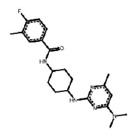 Cc1cc(N(C)C)nc(NC2CCC(NC(=O)c3ccc(F)c(C)c3)CC2)n1